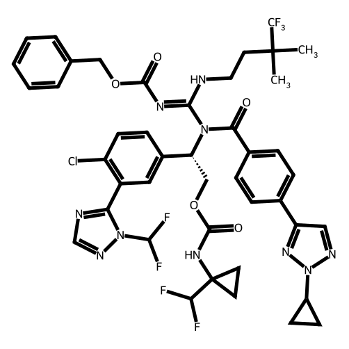 CC(C)(CCN/C(=N\C(=O)OCc1ccccc1)N(C(=O)c1ccc(-c2cnn(C3CC3)n2)cc1)[C@H](COC(=O)NC1(C(F)F)CC1)c1ccc(Cl)c(-c2ncnn2C(F)F)c1)C(F)(F)F